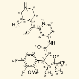 COc1c([C@H]2[C@H](C(=O)Nc3ccnc(C(=O)N4CCNC[C@H]4C)c3)O[C@@](C)(C(F)(F)F)[C@H]2C)ccc(F)c1F